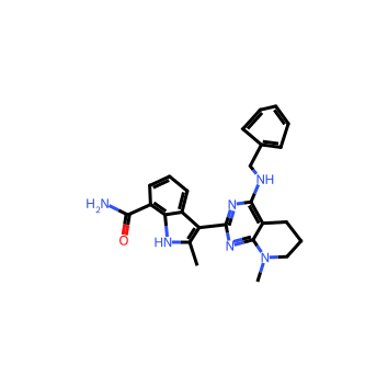 Cc1[nH]c2c(C(N)=O)cccc2c1-c1nc(NCc2ccccc2)c2c(n1)N(C)CCC2